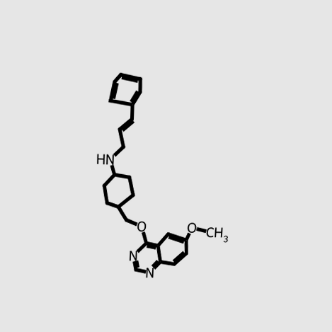 COc1ccc2ncnc(OCC3CCC(NC/C=C/c4ccccc4)CC3)c2c1